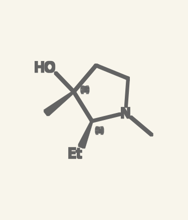 CC[C@@H]1N(C)CC[C@@]1(C)O